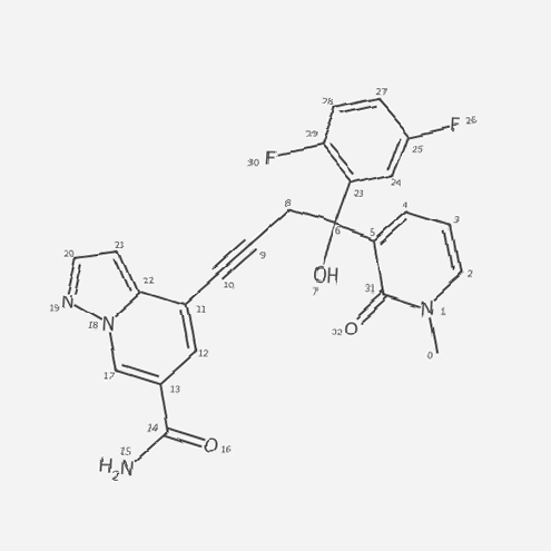 Cn1cccc(C(O)(CC#Cc2cc(C(N)=O)cn3nccc23)c2cc(F)ccc2F)c1=O